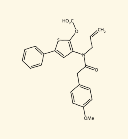 C=CCN(C(=O)Cc1ccc(OC)cc1)c1cc(-c2ccccc2)sc1OC(=O)O